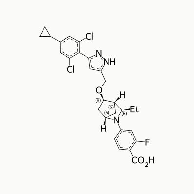 CC[C@@H]1[C@@H]2C[C@@H](C[C@H]2OCc2cc(-c3c(Cl)cc(C4CC4)cc3Cl)n[nH]2)N1c1ccc(C(=O)O)c(F)c1